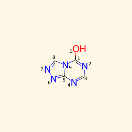 Oc1ncnc2nncn12